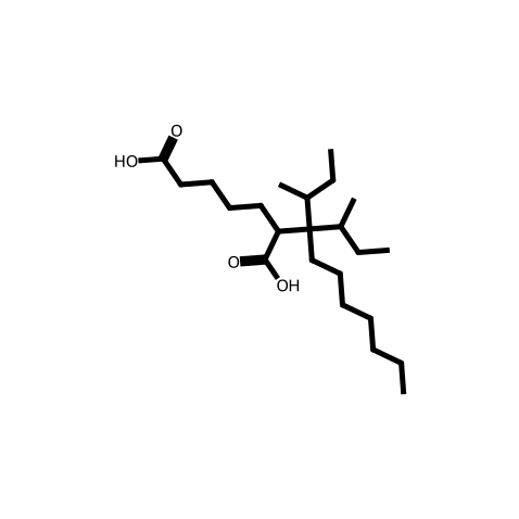 CCCCCCCC(C(C)CC)(C(C)CC)C(CCCCC(=O)O)C(=O)O